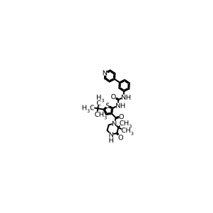 CC(C)(C)c1cc(C(=O)N2CCNC(=O)C2(C)C)c(NC(=O)Nc2cccc(-c3ccncc3)c2)s1